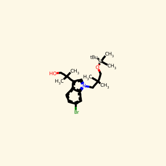 CC(C)(CO[Si](C)(C)C(C)(C)C)Cn1cc(C(C)(C)CO)c2ccc(Br)cc21